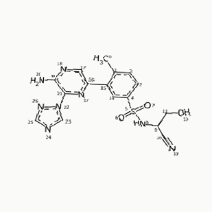 Cc1ccc(S(=O)(=O)NC(C#N)CO)cc1-c1cnc(N)c(-n2cncn2)n1